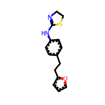 c1coc(CCc2ccc(NC3=NCCS3)cc2)c1